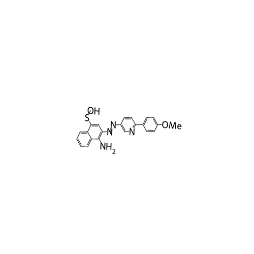 COc1ccc(-c2ccc(/N=N/c3cc(SO)c4ccccc4c3N)cn2)cc1